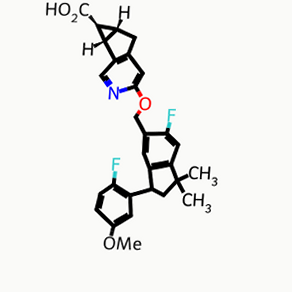 COc1ccc(F)c(C2CC(C)(C)c3cc(F)c(COc4cc5c(cn4)[C@H]4[C@@H](C5)[C@@H]4C(=O)O)cc32)c1